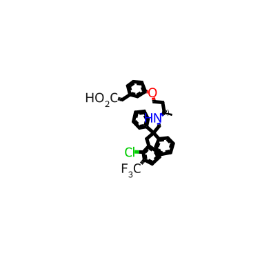 C[C@H](CCOc1cccc(CC(=O)O)c1)NCC(Cc1cccc(C(F)(F)F)c1Cl)(c1ccccc1)c1ccccc1